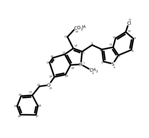 Cn1c(Cc2csc3ccc(Cl)cc23)c(CC(=O)O)c2ccc(OCc3ccccc3)cc21